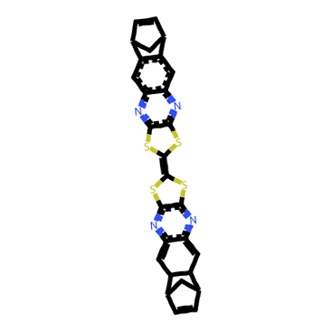 C1=CC2CC1c1cc3nc4c(nc3cc12)SC(=C1Sc2nc3c(nc2S1)=CC1C2C=CC(C2)C1C=3)S4